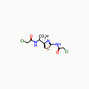 O=C(CCl)Nc1nc(C(NC(=O)CCl)C(=O)O)cs1